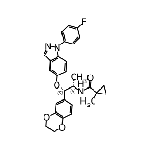 C[C@H](NC(=O)C1(C)CC1)[C@@H](Oc1ccc2c(cnn2-c2ccc(F)cc2)c1)c1ccc2c(c1)OCCO2